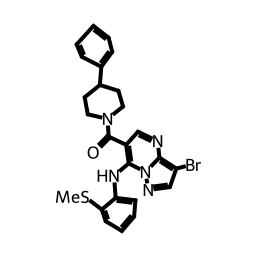 CSc1ccccc1Nc1c(C(=O)N2CCC(c3ccccc3)CC2)cnc2c(Br)cnn12